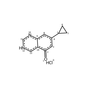 Cl.O=c1cc(C2CC2)cc2nc[nH]cc1-2